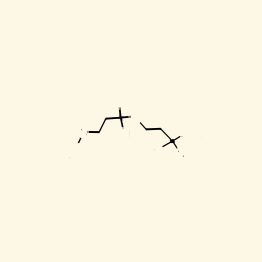 CC(C)(N)CCOC(C)(C)CCNP